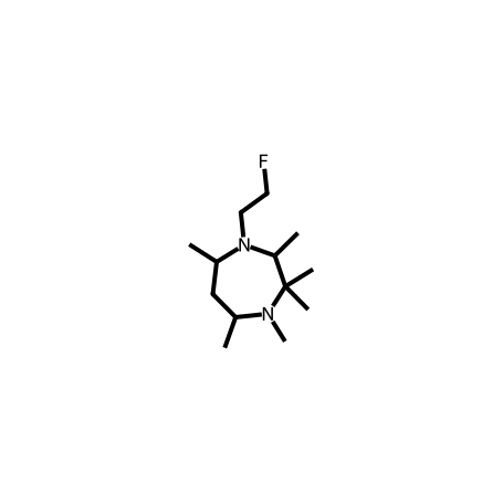 CC1CC(C)N(C)C(C)(C)C(C)N1CCF